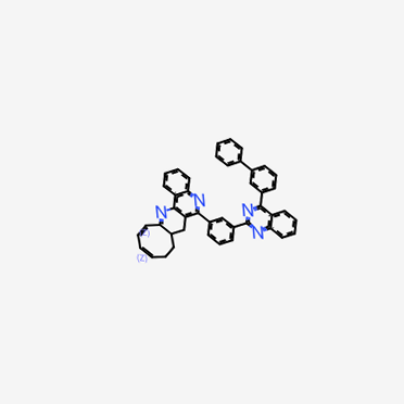 C1=C\CCC2Cc3c(-c4cccc(-c5nc(-c6cccc(-c7ccccc7)c6)c6ccccc6n5)c4)nc4ccccc4c3N=C2\C=C/1